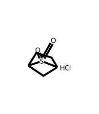 Cl.O=S1(=O)C2CCC1C2